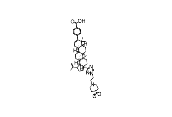 C=C(C)C1CC[C@]2(c3ncn(CCN4CCS(=O)(=O)CC4)n3)CC[C@]3(C)[C@H](CC[C@@H]4[C@@]5(C)CC=C(c6ccc(C(=O)O)cc6)C(C)(C)[C@@H]5CC[C@]43C)[C@@H]12